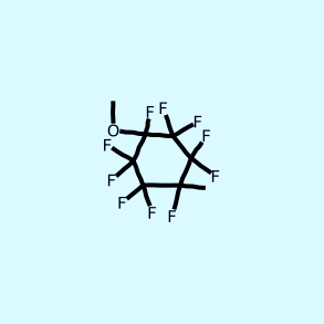 COC1(F)C(F)(F)C(F)(F)C(C)(F)C(F)(F)C1(F)F